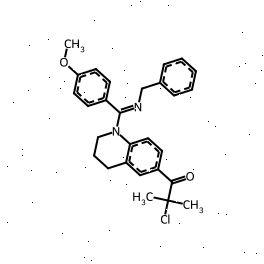 COc1ccc(C(=NCc2ccccc2)N2CCCc3cc(C(=O)C(C)(C)Cl)ccc32)cc1